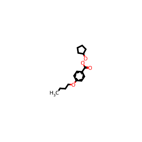 CCCCOc1ccc(C(=O)OO[C]2CCCC2)cc1